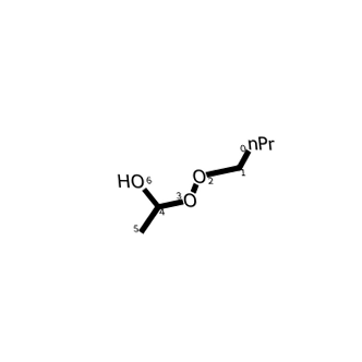 CCCCOOC(C)O